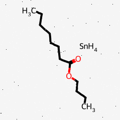 CCCCCCCC(=O)OCCCC.[SnH4]